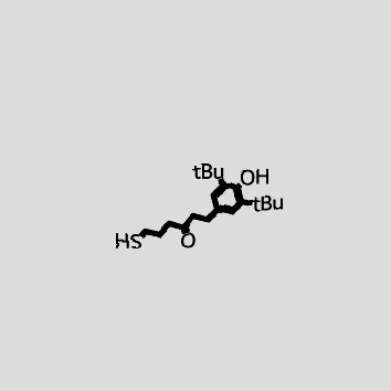 CC(C)(C)c1cc(CCC(=O)CCCS)cc(C(C)(C)C)c1O